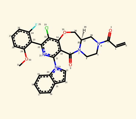 C=CC(=O)N1CCN2C(=O)c3c(-n4ccc5ccccc54)nc(-c4c(F)cccc4OC)c(Cl)c3OC[C@H]2C1